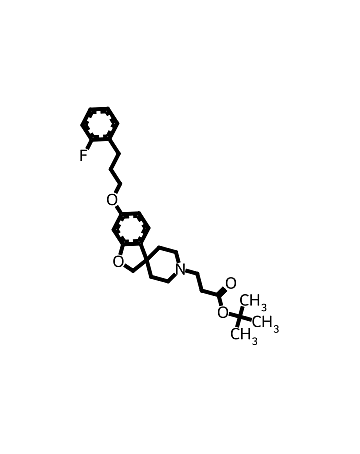 CC(C)(C)OC(=O)CCN1CCC2(CC1)COc1cc(OCCCc3ccccc3F)ccc12